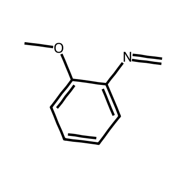 C=Nc1ccccc1OC